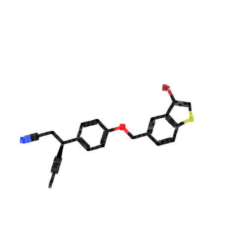 CC#C[C@@H](CC#N)c1ccc(OCc2ccc3scc(Br)c3c2)cc1